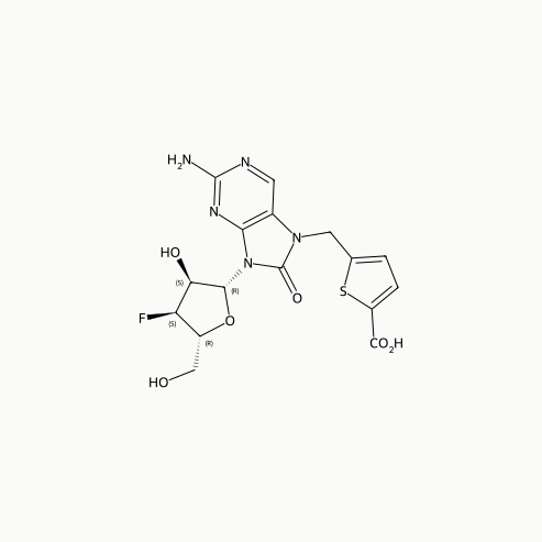 Nc1ncc2c(n1)n([C@@H]1O[C@H](CO)[C@@H](F)[C@H]1O)c(=O)n2Cc1ccc(C(=O)O)s1